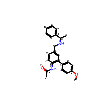 COc1ccc(-c2cc(CNC(C)c3ccccc3)ccc2NC(C)=O)cc1